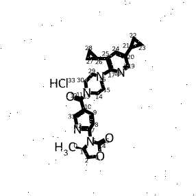 C[C@@H]1COC(=O)N1c1ccc(C(=O)N2CCN(c3ncc(C4CC4)cc3C3CC3)CC2)cn1.Cl